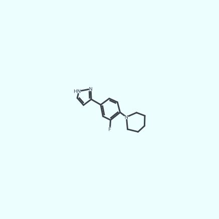 Fc1cc(-c2cc[nH]n2)ccc1N1CCCCC1